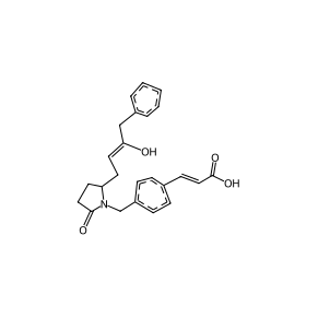 O=C(O)C=Cc1ccc(CN2C(=O)CCC2CC=C(O)Cc2ccccc2)cc1